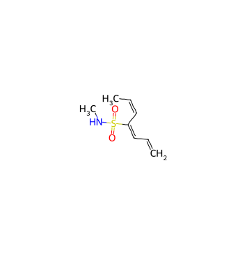 C=C/C=C(\C=C/C)S(=O)(=O)NC